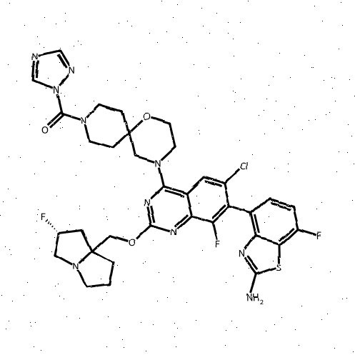 Nc1nc2c(-c3c(Cl)cc4c(N5CCOC6(CCN(C(=O)n7cncn7)CC6)C5)nc(OCC56CCCN5C[C@H](F)C6)nc4c3F)ccc(F)c2s1